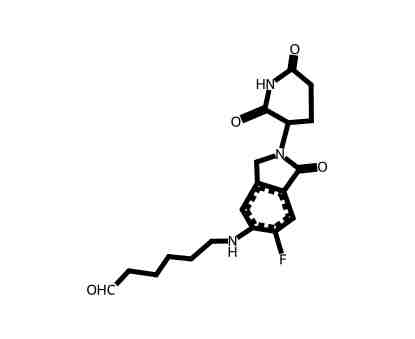 O=CCCCCCNc1cc2c(cc1F)C(=O)N(C1CCC(=O)NC1=O)C2